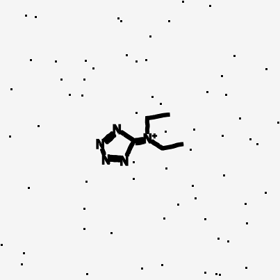 CC[N+](CC)=C1N=NN=N1